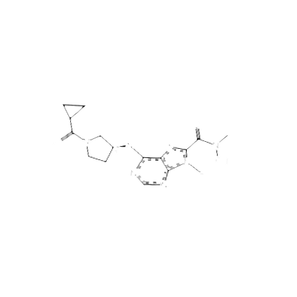 CCn1c(C(=O)N(C)C)nc2c(N[C@H]3CCN(C(=O)C4CC4)C3)ncnc21